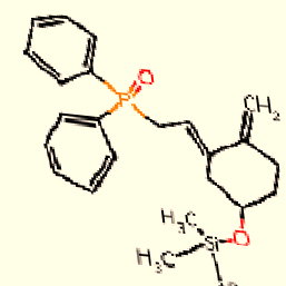 C=C1CCC(O[Si](C)(C)C(C)(C)C)C/C1=C\CP(=O)(c1ccccc1)c1ccccc1